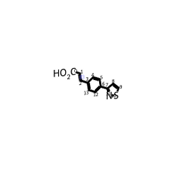 O=C(O)/C=C/c1ccc(-c2ccsn2)cc1